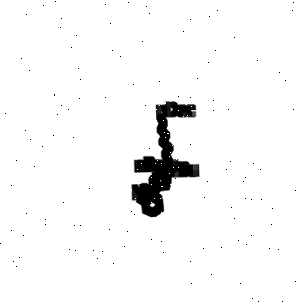 CCCCCCCCCCCCCCCCCC[N+](CCCC)(CCCC)c1ccc(C2C3=C4C=CN2C=C4CCC3)cc1